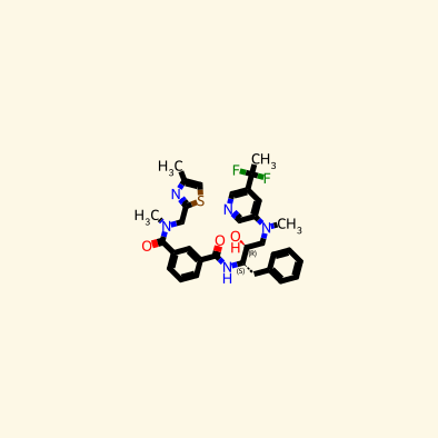 Cc1csc(CN(C)C(=O)c2cccc(C(=O)N[C@@H](Cc3ccccc3)[C@H](O)CN(C)c3cncc(C(C)(F)F)c3)c2)n1